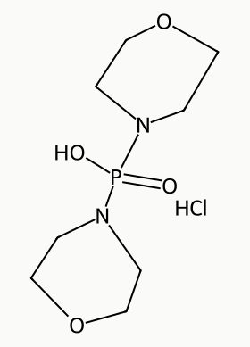 Cl.O=P(O)(N1CCOCC1)N1CCOCC1